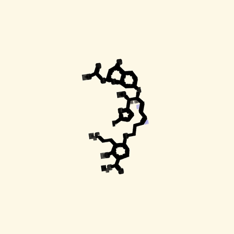 CCCc1c(OCC/C=C\C=C\[C@H](Sc2ccc3c(=O)cc(OC(=O)O)oc3c2)[C@H](O)c2ccc(F)o2)ccc(C(C)=O)c1O